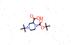 CC(C)(C)OC(=O)N1CCN(C(C)(C)C)CC1C(=O)O